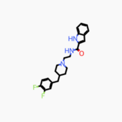 O=C(NCCN1CCC(Cc2ccc(F)c(F)c2)CC1)c1cc2ccccc2[nH]1